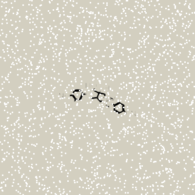 N#Cc1ccc(S(=O)(=O)N2CC(COc3ccc(C#N)c(F)c3)[C@](O)(CO)C2)cc1